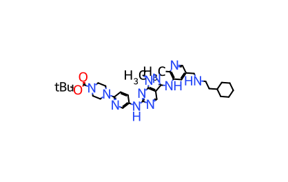 Cc1ncc(CNCCC2CCCCC2)cc1Nc1nn(C)c2nc(Nc3ccc(N4CCN(C(=O)OC(C)(C)C)CC4)nc3)ncc12